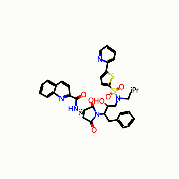 CC(C)CN(CC(O)C(Cc1ccccc1)N1C(=O)C[C@H](NC(=O)c2ccc3ccccc3n2)C1=O)S(=O)(=O)c1ccc(-c2ccccn2)s1